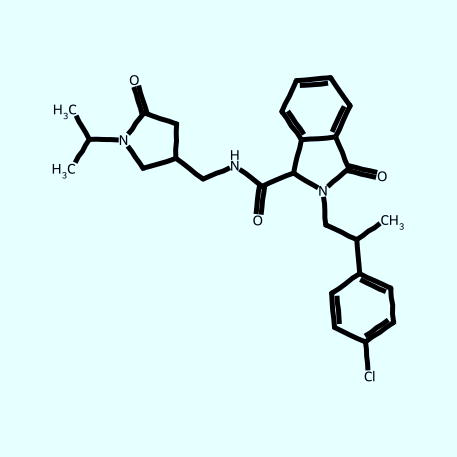 CC(CN1C(=O)c2ccccc2C1C(=O)NCC1CC(=O)N(C(C)C)C1)c1ccc(Cl)cc1